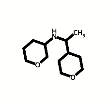 CC(NC1CCCOC1)C1CCOCC1